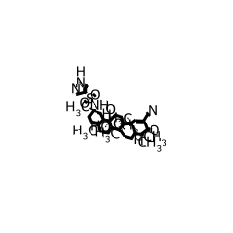 CC1(C)C(=O)C(C#N)=C[C@]2(C)C3=CC(=O)[C@]4(O)[C@@H]5C[C@@](C)(NS(=O)(=O)c6cn[nH]c6)CC[C@@]5(C)CC[C@@]4(C)[C@]3(C)CC[C@@H]12